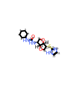 O=C(NC1CCCCC1)N[C@H]1CO[C@H]2[C@@H]1OC[C@@H]2Sc1ncc[nH]1